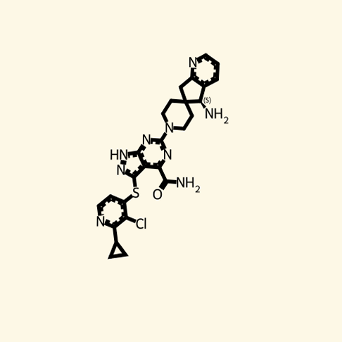 NC(=O)c1nc(N2CCC3(CC2)Cc2ncccc2[C@H]3N)nc2[nH]nc(Sc3ccnc(C4CC4)c3Cl)c12